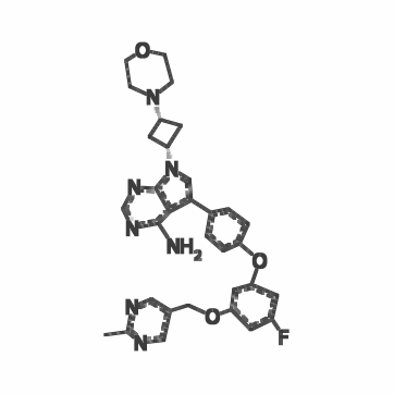 Cc1ncc(COc2cc(F)cc(Oc3ccc(-c4cn([C@H]5C[C@@H](N6CCOCC6)C5)c5ncnc(N)c45)cc3)c2)cn1